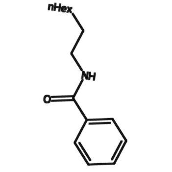 CCCCCCCCNC(=O)c1ccccc1